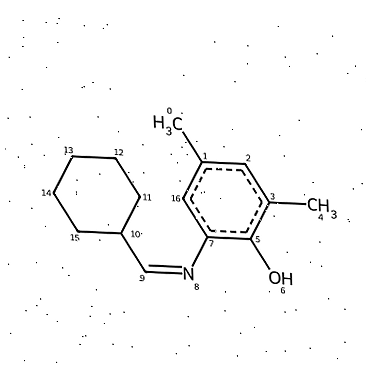 Cc1cc(C)c(O)c(/N=C\C2CCCCC2)c1